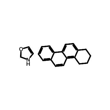 C1=COCN1.c1ccc2c(c1)ccc1c3c(ccc12)CCCC3